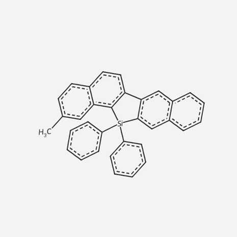 Cc1ccc2ccc3c(c2c1)[Si](c1ccccc1)(c1ccccc1)c1cc2ccccc2cc1-3